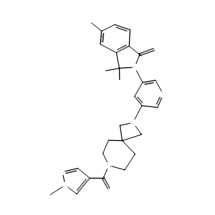 Cn1cc(C(=O)N2CCC3(CC2)CN(c2cncc(N4C(=O)c5ccc(Cl)cc5C4(C)C)c2)C3)cn1